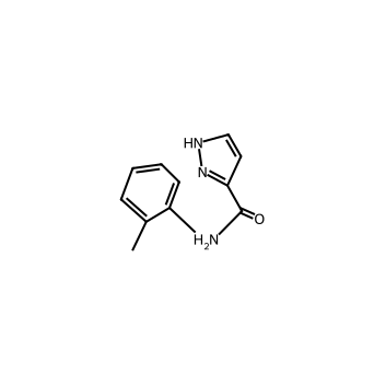 Cc1ccccc1C.NC(=O)c1cc[nH]n1